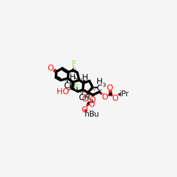 CCCCOC(=O)O[C@]1(C(=O)COC(=O)OC(C)C)[C@H](C)C[C@H]2[C@@H]3C[C@H](F)C4=CC(=O)C=C[C@]4(C)[C@@]3(F)[C@@H](O)C[C@@]21C